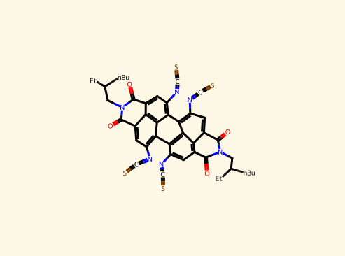 CCCCC(CC)CN1C(=O)c2cc(N=C=S)c3c4c(N=C=S)cc5c6c(cc(N=C=S)c(c7c(N=C=S)cc(c2c37)C1=O)c64)C(=O)N(CC(CC)CCCC)C5=O